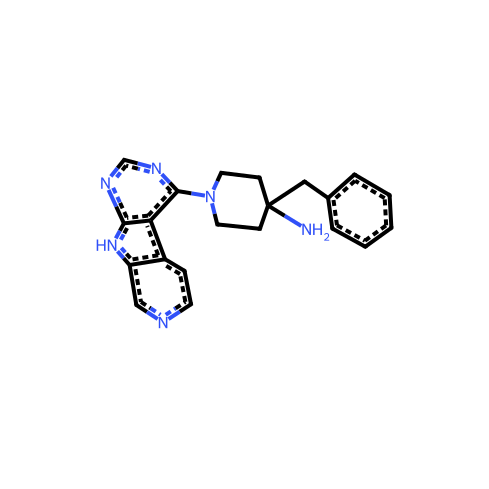 NC1(Cc2ccccc2)CCN(c2ncnc3[nH]c4cnccc4c23)CC1